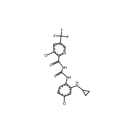 O=C(NC(=S)Nc1ccc(Cl)cc1NC1CC1)c1ncc(C(F)(F)F)cc1Cl